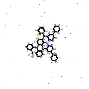 FC(F)(F)c1ccccc1N1c2ccccc2B2c3cc(-c4ccccc4)ccc3N3c4ccc(-c5ccccc5)cc4B4c5ccccc5Sc5cc1c2c3c54